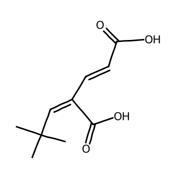 CC(C)(C)C=C(C=CC(=O)O)C(=O)O